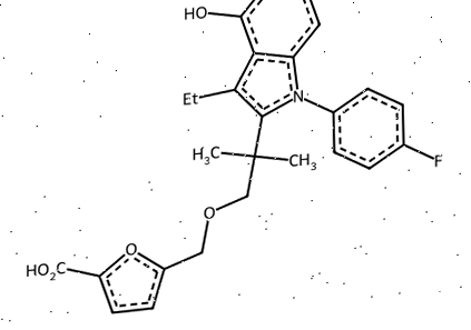 CCc1c(C(C)(C)COCc2ccc(C(=O)O)o2)n(-c2ccc(F)cc2)c2cccc(O)c12